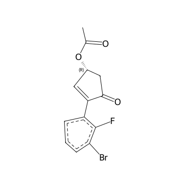 CC(=O)O[C@H]1C=C(c2cccc(Br)c2F)C(=O)C1